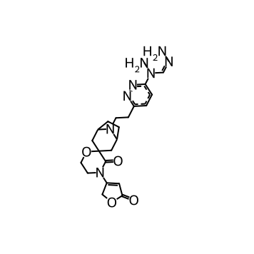 N/N=C\N(N)c1ccc(CCN2C3CCC2CC2(C3)OCCN(C3=CC(=O)OC3)C2=O)nn1